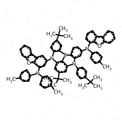 Cc1ccc(N(c2ccc3c(c2)N(c2ccc(C(C)(C)C)cc2)c2cc(C(C)(C)C)cc4c2B3c2cc(C(C)(C)C)ccc2N4c2cc(N(c3ccc(C)cc3)c3ccc(C)cc3)c3oc4ccccc4c3c2)c2cccc3c2oc2ccccc23)cc1